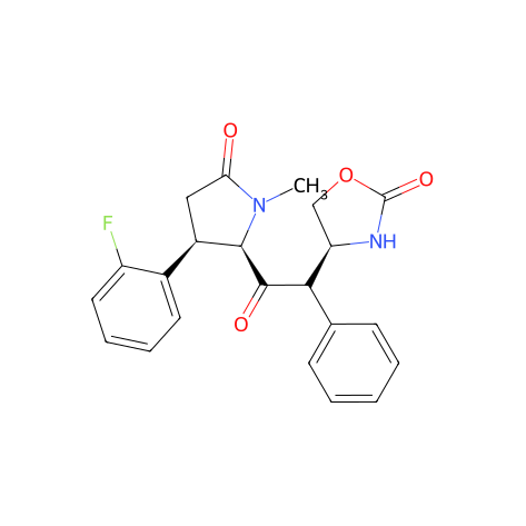 CN1C(=O)C[C@H](c2ccccc2F)[C@@H]1C(=O)C(c1ccccc1)[C@H]1COC(=O)N1